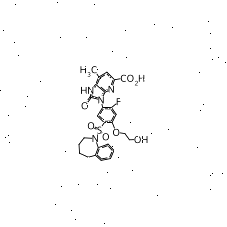 Cc1cc(C(=O)O)nc2c1[nH]c(=O)n2-c1cc(S(=O)(=O)N2CCCCc3ccccc32)c(OCCO)cc1F